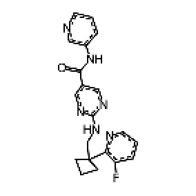 O=C(Nc1cccnc1)c1cnc(NCC2(c3ncccc3F)CCC2)nc1